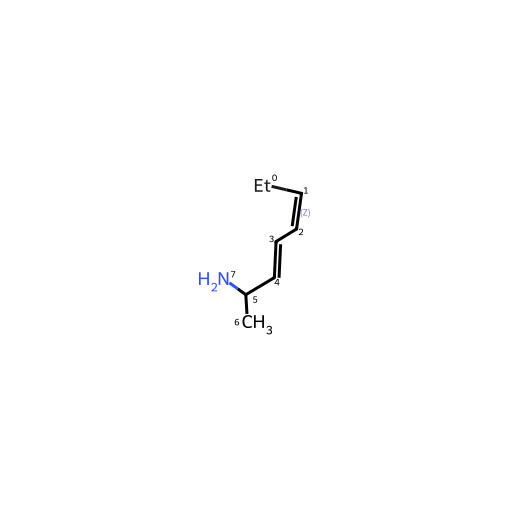 CC/C=C\C=CC(C)N